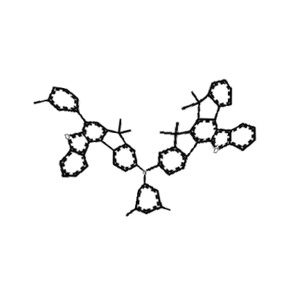 Cc1cccc(-c2cc3c(c4c2oc2ccccc24)-c2ccc(N(c4cc(C)cc(C)c4)c4ccc5c(c4)C(C)(C)c4c6c(c7c(oc8ccccc87)c4-5)-c4ccccc4C6(C)C)cc2C3(C)C)c1